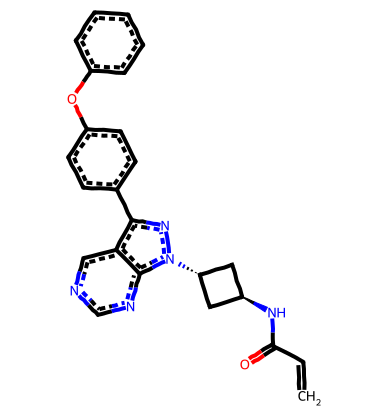 C=CC(=O)N[C@H]1C[C@H](n2nc(-c3ccc(Oc4ccccc4)cc3)c3cncnc32)C1